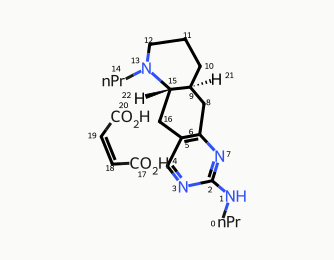 CCCNc1ncc2c(n1)C[C@@H]1CCCN(CCC)[C@H]1C2.O=C(O)/C=C\C(=O)O